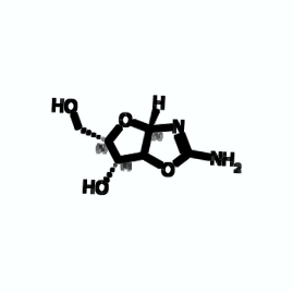 NC1=N[C@H]2O[C@@H](CO)[C@@H](O)C2O1